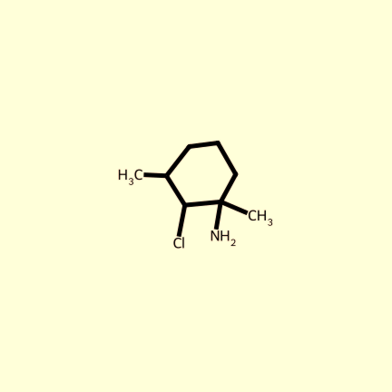 CC1CCCC(C)(N)C1Cl